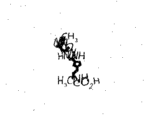 C[C@@H](CCC1CCC(c2cc(NC(=O)Cc3cnn(C)n3)n[nH]2)C1)NC(=O)O